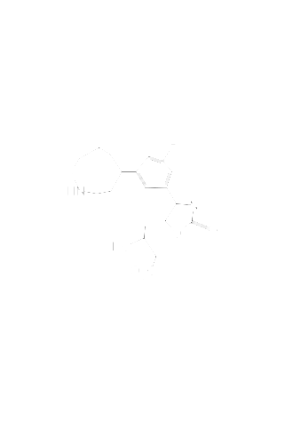 CC(CC(=O)O)C[C@H]1OC(=O)NC1c1cc(F)cc(C2CCCSNCC2)c1